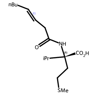 CCCC/C=C/CC(=O)N[C@@](CCSC)(C(=O)O)C(C)C